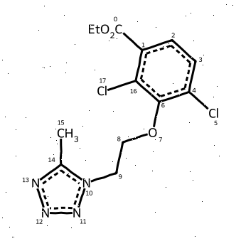 CCOC(=O)c1ccc(Cl)c(OCCn2nnnc2C)c1Cl